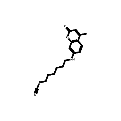 Cc1cc(=O)oc2cc(NCCCCCCSC#N)ccc12